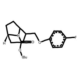 CC(C)(C)OC(=O)N1C2CC[C@H]1CCC2COc1ccc(F)cc1